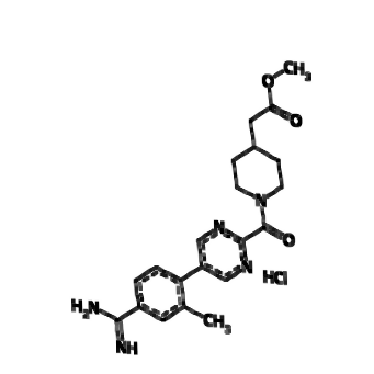 COC(=O)CC1CCN(C(=O)c2ncc(-c3ccc(C(=N)N)cc3C)cn2)CC1.Cl